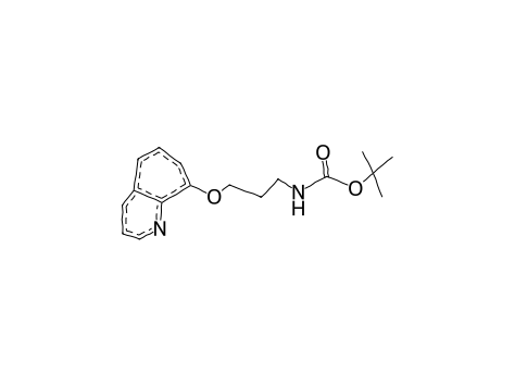 CC(C)(C)OC(=O)NCCCOc1cccc2cccnc12